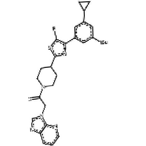 CC(C)(C)c1cc(-c2nc(C3CCN(C(=O)Cn4cnc5cccnc54)CC3)sc2Br)cc(C2CC2)c1